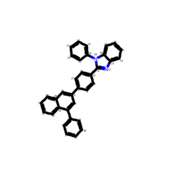 c1ccc(-c2cc(-c3ccc(-c4nc5ccccc5n4-c4ccccc4)cc3)cc3ccccc23)cc1